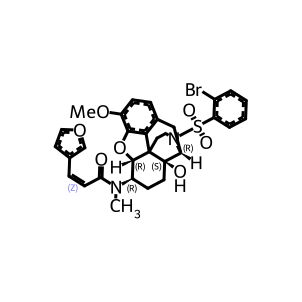 COc1ccc2c3c1O[C@H]1[C@H](N(C)C(=O)/C=C\c4ccoc4)CC[C@@]4(O)[C@@H](C2)N(S(=O)(=O)c2ccccc2Br)CCC314